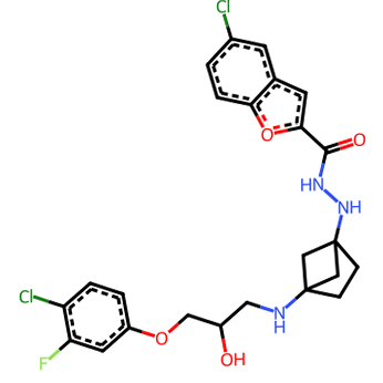 O=C(NNC12CCC(NCC(O)COc3ccc(Cl)c(F)c3)(C1)C2)c1cc2cc(Cl)ccc2o1